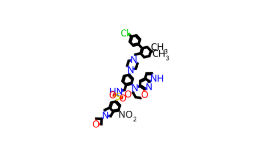 CC1(C)CCC(CN2CCN(c3ccc(C(=O)NS(=O)(=O)c4cc5c(c([N+](=O)[O-])c4)CN(C4COC4)C5)c(N4CCCOc5nc6[nH]ccc6cc54)c3)CC2)=C(c2ccc(Cl)cc2)C1